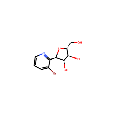 OC[C@H]1O[C@H](c2ncccc2Br)[C@H](O)[C@@H]1O